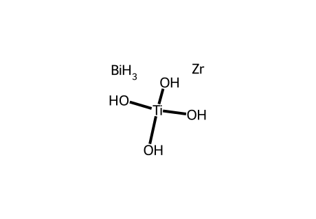 [BiH3].[OH][Ti]([OH])([OH])[OH].[Zr]